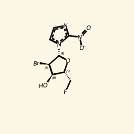 O=[N+]([O-])c1nccn1[C@@H]1O[C@H](CF)[C@@H](O)[C@H]1Br